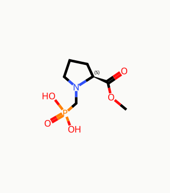 COC(=O)[C@@H]1CCCN1CP(=O)(O)O